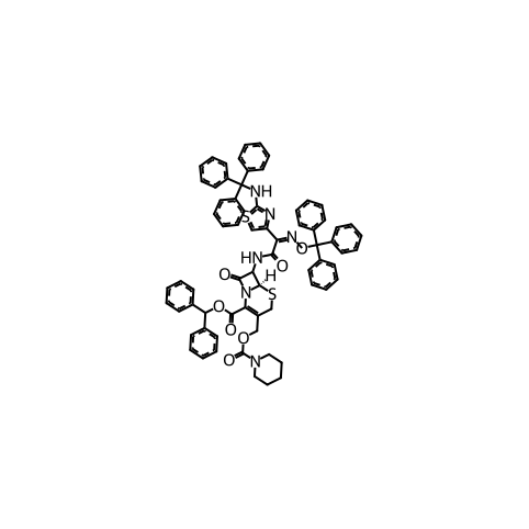 O=C(OC(c1ccccc1)c1ccccc1)C1=C(COC(=O)N2CCCCC2)CS[C@@H]2C(NC(=O)/C(=N\OC(c3ccccc3)(c3ccccc3)c3ccccc3)c3csc(NC(c4ccccc4)(c4ccccc4)c4ccccc4)n3)C(=O)N12